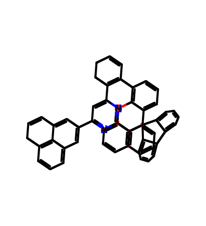 C1=CC(c2cccc3c2Oc2ccccc2C32c3ccccc3-c3ccccc32)=C(c2cc(-c3cc4c5c(cccc5c3)CC=C4)nc(-c3ccccc3)n2)CC1